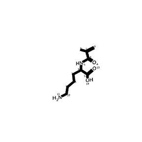 C=C(C)C(=O)NC(CCCCN)C(=O)O